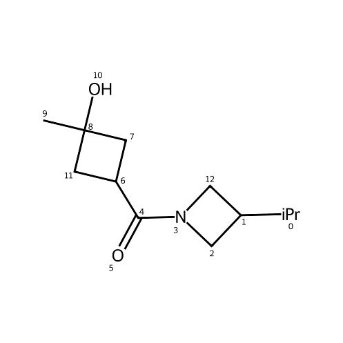 CC(C)C1CN(C(=O)C2CC(C)(O)C2)C1